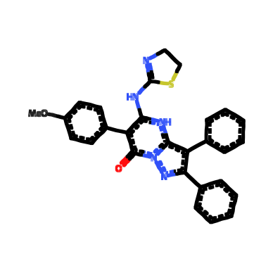 COc1ccc(-c2c(NC3=NCCS3)[nH]c3c(-c4ccccc4)c(-c4ccccc4)nn3c2=O)cc1